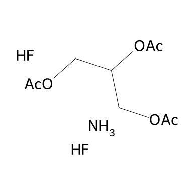 CC(=O)OCC(COC(C)=O)OC(C)=O.F.F.N